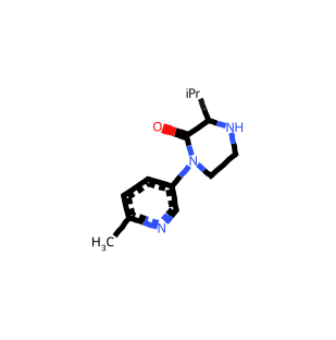 Cc1ccc(N2CCNC(C(C)C)C2=O)cn1